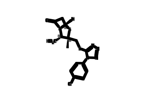 C[C@@]1(CSc2nnnn2-c2ccc(Cl)cc2)S[C@H]2CC(=O)N2[C@H]1C(=O)O